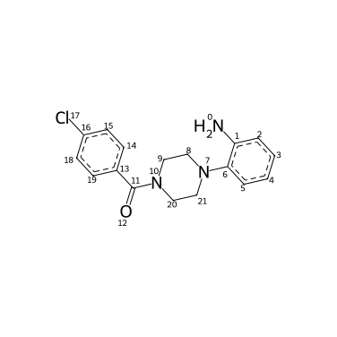 Nc1ccccc1N1CCN(C(=O)c2ccc(Cl)cc2)CC1